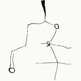 C[C@H](CCC=O)O[Si](C)(C)C(C)(C)C